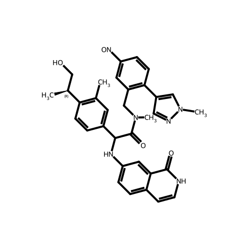 Cc1cc(C(Nc2ccc3cc[nH]c(=O)c3c2)C(=O)N(C)Cc2cc(N=O)ccc2-c2cnn(C)c2)ccc1[C@@H](C)CO